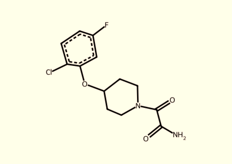 NC(=O)C(=O)N1CCC(Oc2cc(F)ccc2Cl)CC1